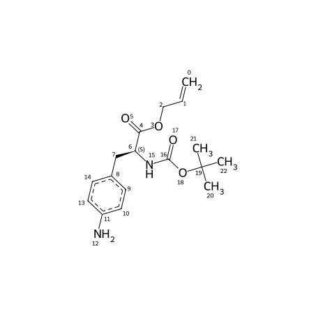 C=CCOC(=O)[C@H](Cc1ccc(N)cc1)NC(=O)OC(C)(C)C